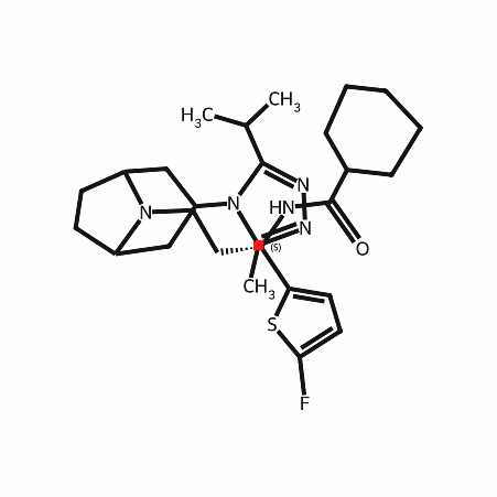 Cc1nnc(C(C)C)n1C1CC2CCC(C1)N2CC[C@H](NC(=O)C1CCCCC1)c1ccc(F)s1